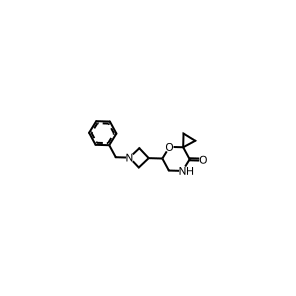 O=C1NCC(C2CN(Cc3ccccc3)C2)OC12CC2